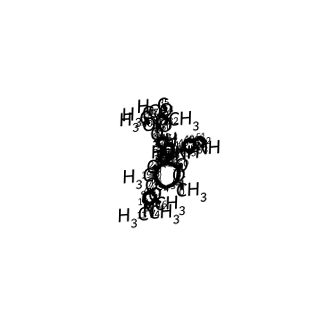 CC[C@H]1CCC[C@H](O[C@H]2CC[C@H](N(C)C)C(C)O2)[C@@H](C)C(=O)C2=C[C@H]3[C@@H]4C[C@H](O[C@@H]5OC(C)[C@H](OC)C(OC)C5OC)C[C@H]4C[C@H](Nc4ccc5cc[nH]c5c4)[C@H]3[C@@H]2CC(=O)O1